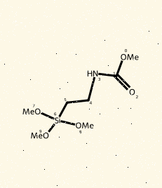 COC(=O)NCC[Si](OC)(OC)OC